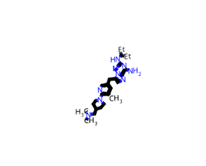 CCC(CC)Nc1nc(N)c2ncc(Cc3cnc(N4CCC(CN(C)C)CC4)c(C)c3)n2n1